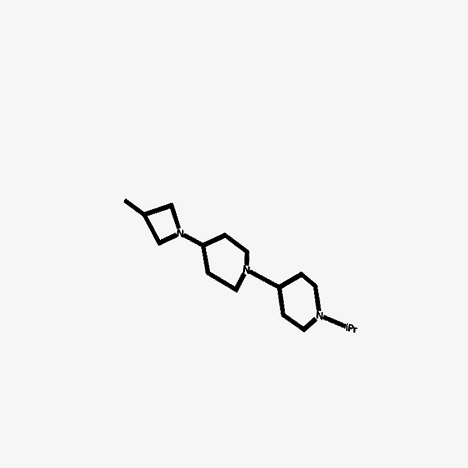 CC1CN(C2CCN(C3CCN(C(C)C)CC3)CC2)C1